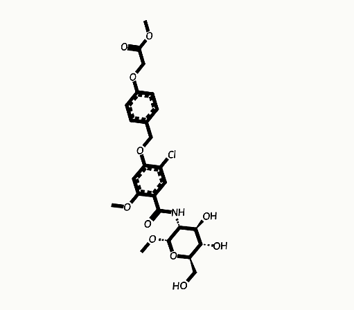 COC(=O)COc1ccc(COc2cc(OC)c(C(=O)N[C@H]3[C@@H](OC)O[C@H](CO)[C@@H](O)[C@@H]3O)cc2Cl)cc1